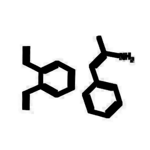 C=Cc1ccccc1C=C.CC(N)=Cc1ccccc1